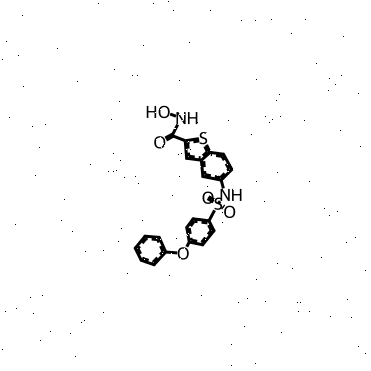 O=C(NO)c1cc2cc(NS(=O)(=O)c3ccc(Oc4ccccc4)cc3)ccc2s1